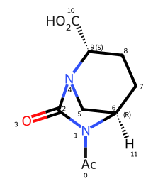 CC(=O)N1C(=O)N2C[C@H]1CC[C@H]2C(=O)O